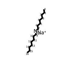 CCCCCCCC[N-]CCCCCCCC.[Na+]